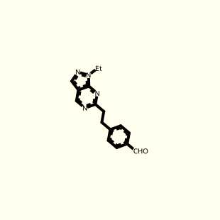 CCn1ncc2cnc(CCc3ccc(C=O)cc3)nc21